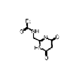 CCC(=O)NCC1=NC(=O)CC(=O)N1